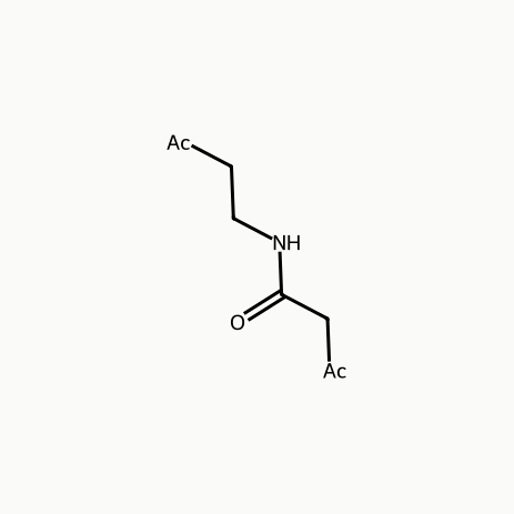 CC(=O)CCNC(=O)CC(C)=O